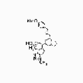 COc1ccc(COCc2cc([C@H](CC(=O)O)c3ccc4c(nnn4C)c3C)cc3c2CCC3)cc1